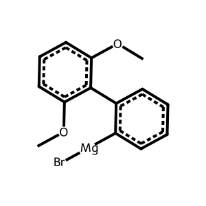 COc1cccc(OC)c1-c1cccc[c]1[Mg][Br]